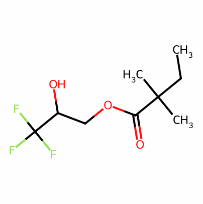 CCC(C)(C)C(=O)OCC(O)C(F)(F)F